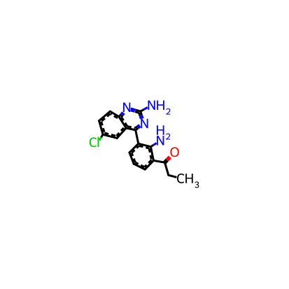 CCC(=O)c1cccc(-c2nc(N)nc3ccc(Cl)cc23)c1N